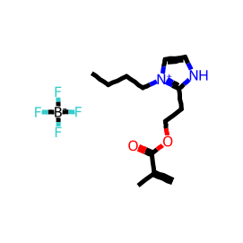 C=C(C)C(=O)OCCc1[nH]cc[n+]1CCCC.F[B-](F)(F)F